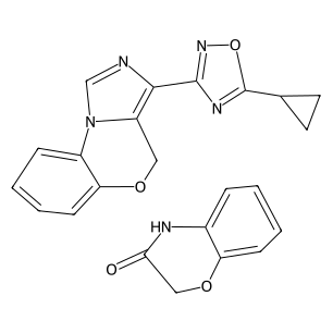 O=C1COc2ccccc2N1.c1ccc2c(c1)OCc1c(-c3noc(C4CC4)n3)ncn1-2